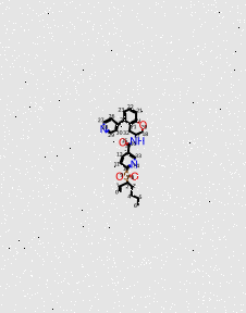 C=CC(CCCC)S(=O)(=O)c1ccc(C(=O)N[C@@H]2COc3cccc(-c4ccncc4)c3C2)cn1